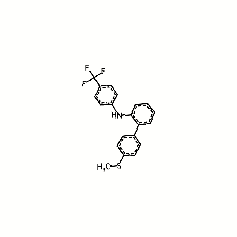 CSc1ccc(-c2ccccc2Nc2ccc(C(F)(F)F)cc2)cc1